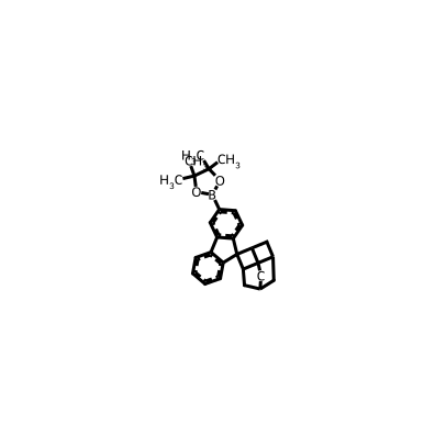 CC1(C)OB(c2ccc3c(c2)-c2ccccc2C32C3CC4CC5CC2C53C4)OC1(C)C